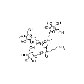 NCCCC[C@@H](C(=O)NCCO[C@H]1O[C@H](CO)[C@@H](O)[C@H](O)[C@@H]1O)N(CC(=O)NCCO[C@H]1O[C@H](CO)[C@@H](O)[C@H](O)[C@@H]1O)CC(=O)NCCO[C@H]1O[C@H](CO)[C@@H](O)[C@H](O)[C@@H]1O